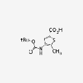 Cc1sc(C(=O)O)cc1NC(=O)OC(C)(C)C